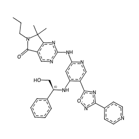 CCCN1C(=O)c2cnc(Nc3cc(N[C@H](CO)c4ccccc4)c(-c4nc(-c5ccncc5)no4)cn3)nc2C1(C)C